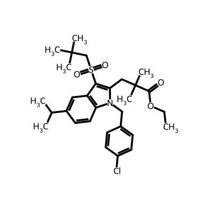 CCOC(=O)C(C)(C)Cc1c(S(=O)(=O)CC(C)(C)C)c2cc(C(C)C)ccc2n1Cc1ccc(Cl)cc1